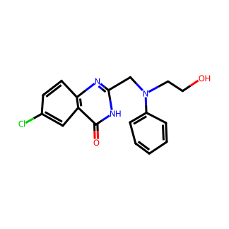 O=c1[nH]c(CN(CCO)c2ccccc2)nc2ccc(Cl)cc12